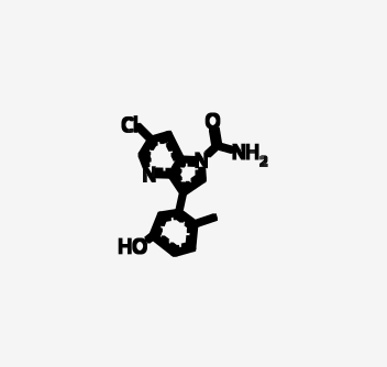 Cc1ccc(O)cc1-c1cn(C(N)=O)c2cc(Cl)cnc12